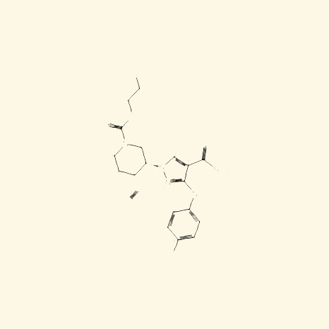 C=C[C@@H]1CCN(C(=O)OCCF)C[C@H]1n1cc(C(N)=O)c(Nc2ccc(F)cc2)n1